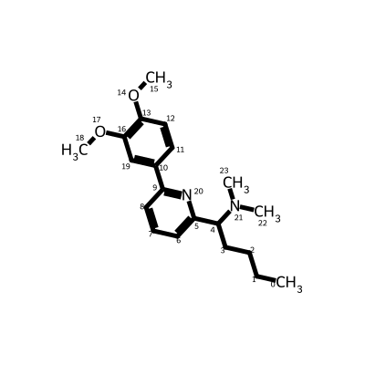 CCCCC(c1cccc(-c2ccc(OC)c(OC)c2)n1)N(C)C